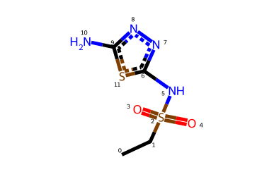 CCS(=O)(=O)Nc1nnc(N)s1